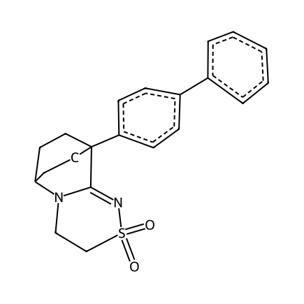 O=S1(=O)CCN2C(=N1)C1(c3ccc(-c4ccccc4)cc3)CCC2CC1